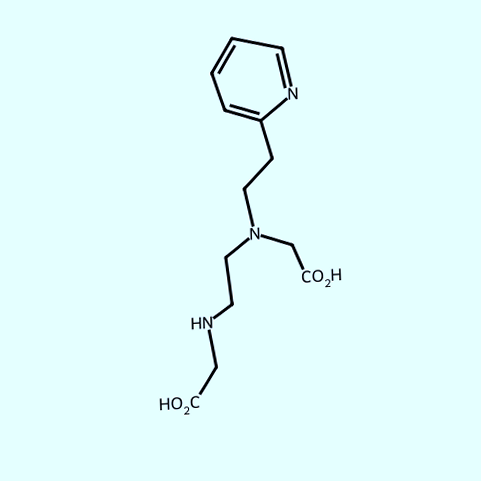 O=C(O)CNCCN(CCc1ccccn1)CC(=O)O